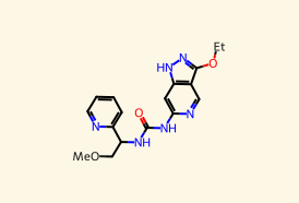 CCOc1n[nH]c2cc(NC(=O)NC(COC)c3ccccn3)ncc12